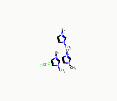 CC[n+]1ccn(C)c1.CC[n+]1ccn(C)c1.CC[n+]1ccn(C)c1.[Cl-].[Cl-].[Cl-]